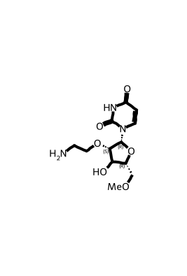 COC[C@H]1O[C@@H](n2ccc(=O)[nH]c2=O)[C@@H](OCCN)C1O